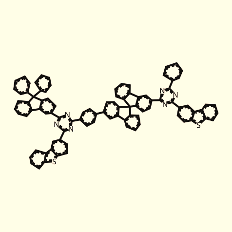 c1ccc(-c2nc(-c3ccc4c(c3)-c3ccccc3C43c4ccccc4-c4cc(-c5ccc(-c6nc(-c7ccc8c(c7)-c7ccccc7C8(c7ccccc7)c7ccccc7)nc(-c7ccc8sc9ccccc9c8c7)n6)cc5)ccc43)nc(-c3ccc4sc5ccccc5c4c3)n2)cc1